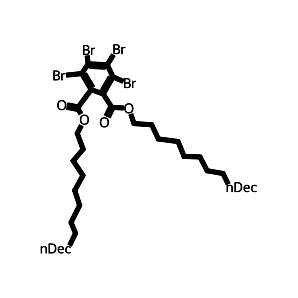 CCCCCCCCCCCCCCCCCCOC(=O)c1c(Br)c(Br)c(Br)c(Br)c1C(=O)OCCCCCCCCCCCCCCCCCC